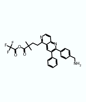 CC(C)(CCc1nccc2nc(-c3ccc(CN)cc3)c(-c3ccccc3)cc12)C(=O)OC(=O)C(F)(F)F